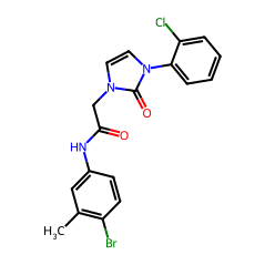 Cc1cc(NC(=O)Cn2ccn(-c3ccccc3Cl)c2=O)ccc1Br